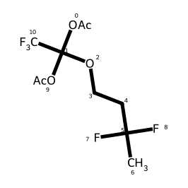 CC(=O)OC(OCCC(C)(F)F)(OC(C)=O)C(F)(F)F